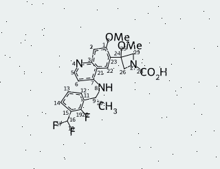 COc1cc2nccc(N[C@H](C)c3cccc(C(F)F)c3F)c2cc1C1(OC)CN(C(=O)O)C1